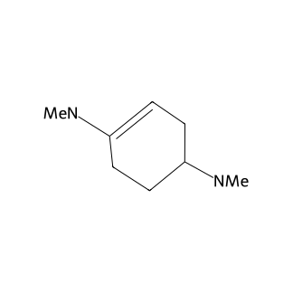 CNC1=CCC(NC)CC1